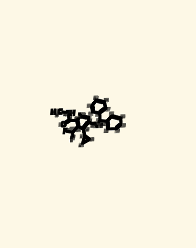 CNC(=O)c1ncc(NC(c2ccccc2)c2ccccc2)c(C2CC2)c1C(F)F